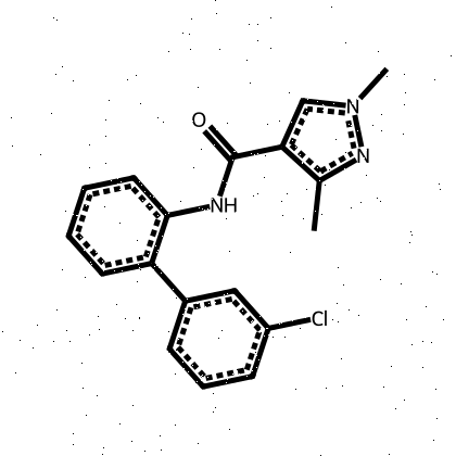 Cc1nn(C)cc1C(=O)Nc1ccccc1-c1cccc(Cl)c1